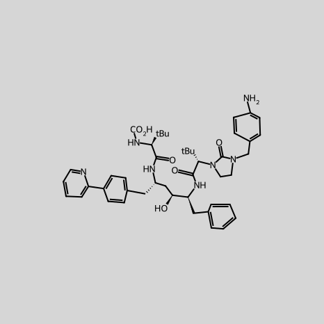 CC(C)(C)[C@H](NC(=O)O)C(=O)N[C@@H](Cc1ccc(-c2ccccn2)cc1)C[C@H](O)[C@H](Cc1ccccc1)NC(=O)[C@@H](N1CCN(Cc2ccc(N)cc2)C1=O)C(C)(C)C